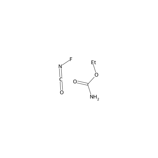 CCOC(N)=O.O=C=NF